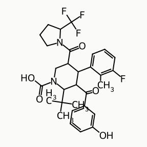 Cc1c(F)cccc1C1C(C(=O)N2CCCC2C(F)(F)F)CN(C(=O)O)C(C(C)(C)C)C1C(=O)c1cccc(O)c1